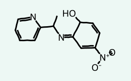 CC(/N=C1/C=C([N+](=O)[O-])C=CC1O)c1ccccn1